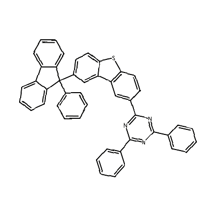 c1ccc(-c2nc(-c3ccccc3)nc(-c3ccc4sc5ccc(C6(c7ccccc7)c7ccccc7-c7ccccc76)cc5c4c3)n2)cc1